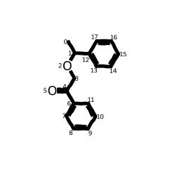 CC(OCC(=O)c1ccccc1)c1ccccc1